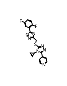 Fc1ccc(F)c(-c2nc(CSc3nnc(-c4ccncc4)n3C3CC3)no2)c1